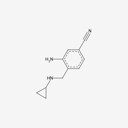 N#Cc1ccc(CNC2CC2)c(N)c1